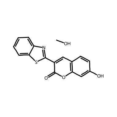 CO.O=c1oc2cc(O)ccc2cc1-c1nc2ccccc2s1